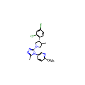 COc1ccc(-n2c(C)nnc2N2C[C@H](c3ccc(F)cc3Cl)[C@@H](C)C2)cn1